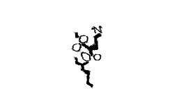 CCCCC(CC)COC(=O)C(=CC=CN(C)C)C(=O)OCC